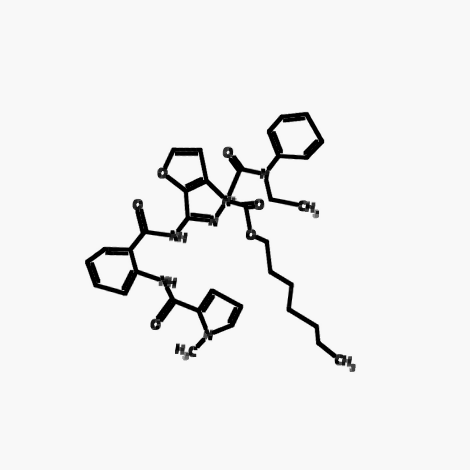 CCCCCCCOC(=O)[N+]1(C(=O)N(CC)c2ccccc2)N=C(NC(=O)c2ccccc2NC(=O)c2cccn2C)c2occc21